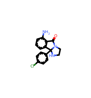 Nc1cccc2c1C(=O)N1CCNC21c1ccc(Cl)cc1